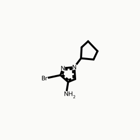 Nc1cn(C2CCCC2)nc1Br